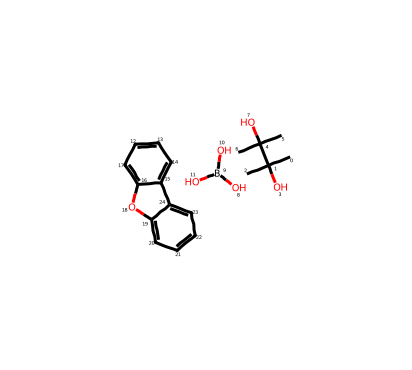 CC(C)(O)C(C)(C)O.OB(O)O.c1ccc2c(c1)oc1ccccc12